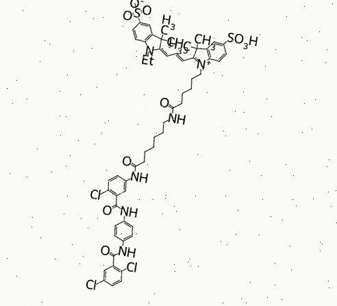 CCN1/C(=C/C=C/C2=[N+](CCCCCC(=O)NCCCCCCC(=O)Nc3ccc(Cl)c(C(=O)Nc4ccc(NC(=O)c5cc(Cl)ccc5Cl)cc4)c3)c3ccc(S(=O)(=O)O)cc3C2(C)C)C(C)(C)c2cc(S(=O)(=O)[O-])ccc21